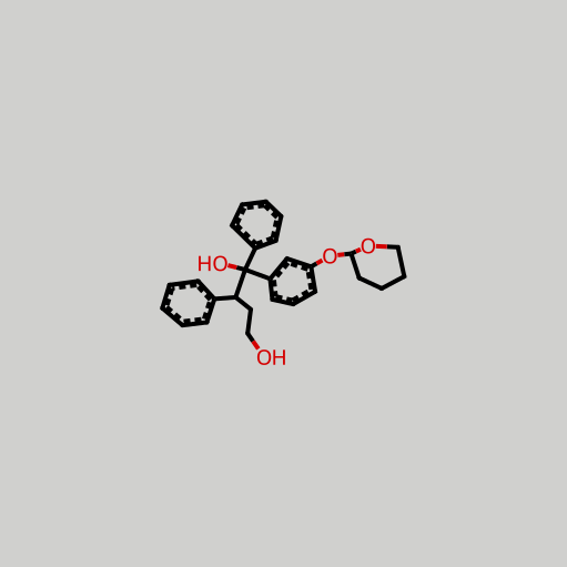 OCCC(c1ccccc1)C(O)(c1ccccc1)c1cccc(OC2CCCCO2)c1